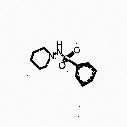 O=S(=O)(NN1CCCCC1)c1ccccc1